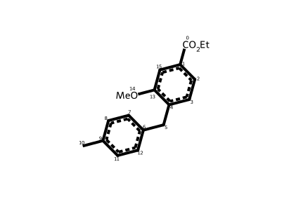 CCOC(=O)c1ccc(Cc2ccc(C)cc2)c(OC)c1